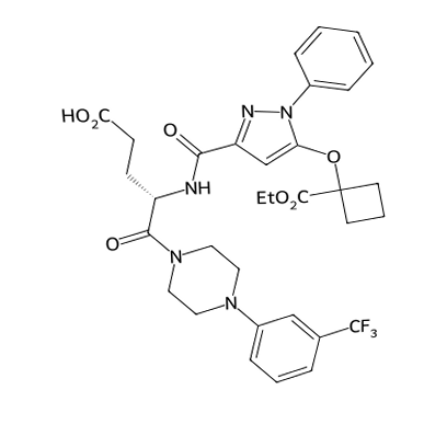 CCOC(=O)C1(Oc2cc(C(=O)N[C@@H](CCC(=O)O)C(=O)N3CCN(c4cccc(C(F)(F)F)c4)CC3)nn2-c2ccccc2)CCC1